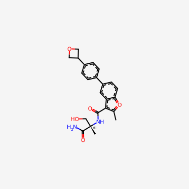 Cc1oc2ccc(-c3ccc(C4COC4)cc3)cc2c1C(=O)N[C@@](C)(CO)C(N)=O